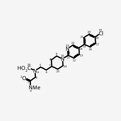 CNC(=O)CN(CCC1CCN(c2ccc(-c3ccc(Cl)cc3)cn2)CC1)C(=O)O